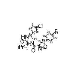 CC(C)C[C@H]1C(=O)N[C@@H](c2ccc(Cl)s2)CN1C(=O)c1cc(-c2ccc(F)cc2)on1